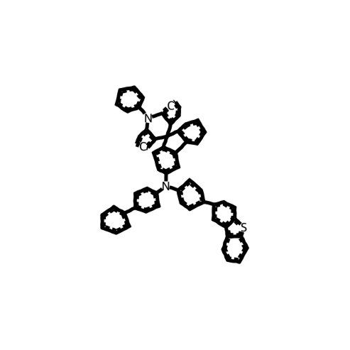 c1ccc(-c2ccc(N(c3ccc(-c4ccc5sc6ccccc6c5c4)cc3)c3ccc4c(c3)-c3ccccc3C43c4ccccc4N(c4ccccc4)c4ccccc43)cc2)cc1